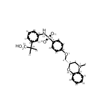 CN1C[C@@H](COc2ccc(S(=O)(=O)Nc3cccc(C(C)(C)C(=O)O)c3)cc2)Oc2ccccc21